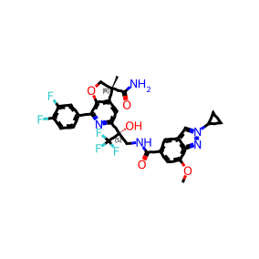 COc1cc(C(=O)NC[C@](O)(c2cc3c(c(-c4ccc(F)c(F)c4)n2)OC[C@]3(C)C(N)=O)C(F)(F)F)cc2cn(C3CC3)nc12